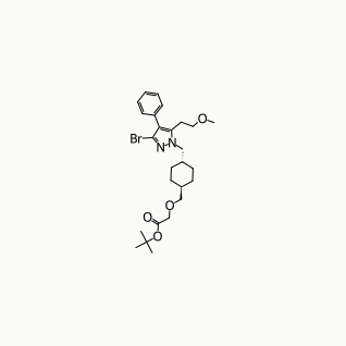 COCCc1c(-c2ccccc2)c(Br)nn1C[C@H]1CC[C@H](COCC(=O)OC(C)(C)C)CC1